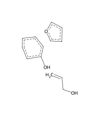 C=CCO.Oc1ccccc1.c1ccoc1